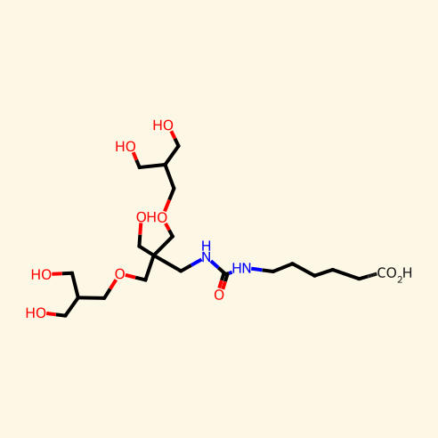 O=C(O)CCCCCNC(=O)NCC(CO)(COCC(CO)CO)COCC(CO)CO